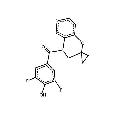 O=C(c1cc(F)c(O)c(F)c1)N1CC2(CC2)Oc2ccncc21